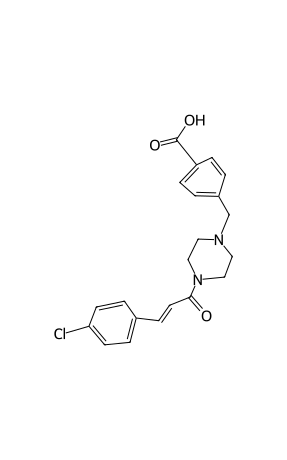 O=C(O)c1ccc(CN2CCN(C(=O)/C=C/c3ccc(Cl)cc3)CC2)cc1